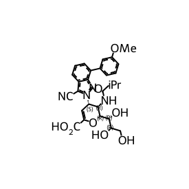 COc1cccc(-c2cccc3c(C#N)n([C@H]4C=C(C(=O)O)O[C@@H]([C@H](O)[C@H](O)CO)[C@@H]4NC(=O)C(C)C)nc23)c1